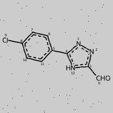 O=Cc1nnc(-c2ccc(Cl)cc2)[nH]1